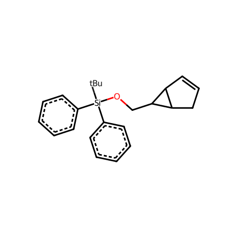 CC(C)(C)[Si](OCC1C2C=CCC21)(c1ccccc1)c1ccccc1